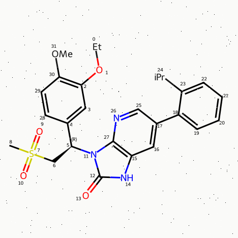 CCOc1cc([C@H](CS(C)(=O)=O)n2c(=O)[nH]c3cc(-c4ccccc4C(C)C)cnc32)ccc1OC